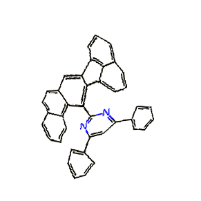 c1ccc(-c2cc(-c3ccccc3)nc(-c3c4c(cc5ccc6ccccc6c35)-c3cccc5cccc-4c35)n2)cc1